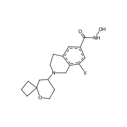 O=C(NO)c1cc(F)c2c(c1)CCN(C1CCOC3(CCC3)C1)C2